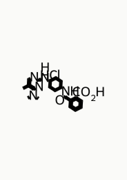 Cc1cnc(N[C@H]2CC[C@@H](NC(=O)c3ccccc3C(=O)O)CC2)nc1N(C)C.Cl